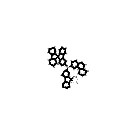 CC1(C)c2ccccc2-c2ccc(N(c3ccc4c(c3)-c3ccccc3C43c4ccccc4-c4ccccc43)c3ccc4ccc5ccccc5c4c3)cc21